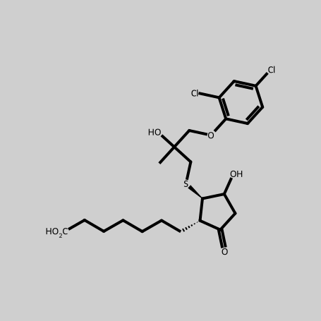 CC(O)(COc1ccc(Cl)cc1Cl)CS[C@H]1C(O)CC(=O)[C@@H]1CCCCCCC(=O)O